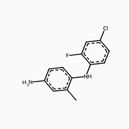 Cc1cc(N)ccc1Nc1ccc(Cl)cc1F